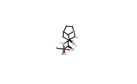 COC(=O)C1CC2CCN(C1)C2C(=O)OC(C)(C)C